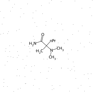 [CH2]C(CCC)(C(N)=O)N(C)C